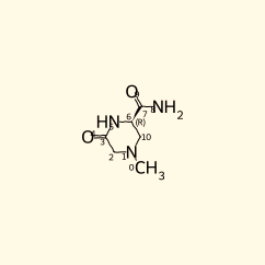 CN1CC(=O)N[C@@H](C(N)=O)C1